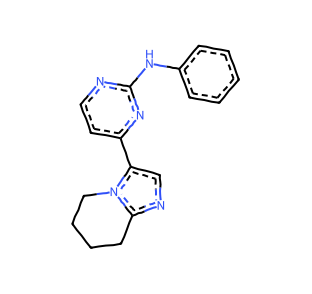 c1ccc(Nc2nccc(-c3cnc4n3CCCC4)n2)cc1